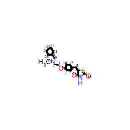 CN(CCOc1ccc(C=C2SC(=O)NC2=O)cc1)Cc1ccccc1